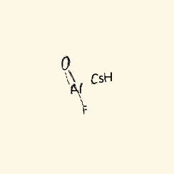 [CsH].[O]=[Al][F]